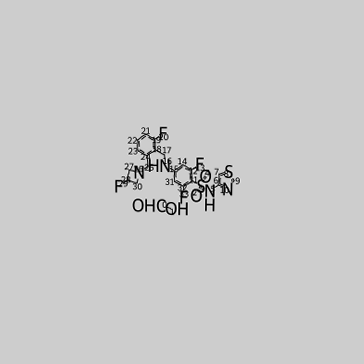 O=CO.O=S(=O)(Nc1cscn1)c1c(F)cc(NCc2c(F)cccc2CN2CC(F)C2)cc1F